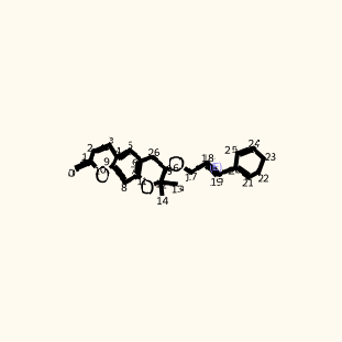 C=C1C=Cc2cc3c(cc2O1)OC(C)(C)C(OC/C=C/C1=CCCC=C1)C3